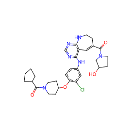 O=C(C1=Cc2c(ncnc2Nc2ccc(OC3CCN(C(=O)C4CCCC4)CC3)c(Cl)c2)NCC1)N1CCC(O)C1